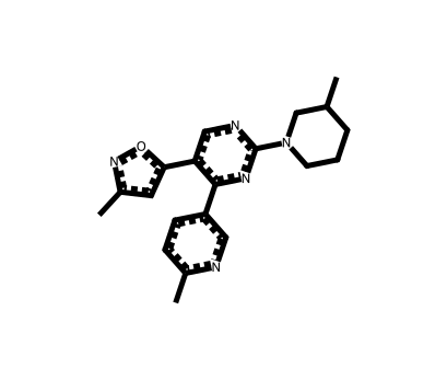 Cc1ccc(-c2nc(N3CCCC(C)C3)ncc2-c2cc(C)no2)cn1